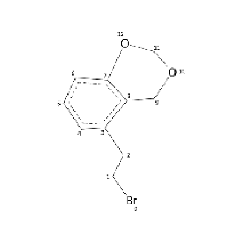 BrCCc1cccc2c1COCO2